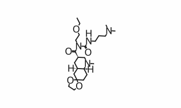 CCOCCN(C(=O)NCCCN(C)C)C(=O)[C@@H]1C[C@@H]2CC3(CC[C@H]2N(C)C1)OCCO3